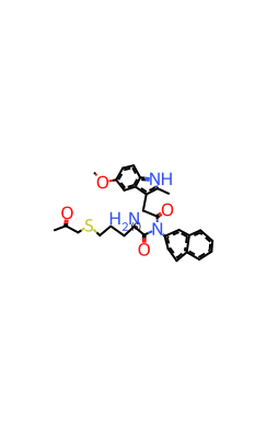 COc1ccc2[nH]c(C)c(CC(=O)N(C(=O)[C@@H](N)CCCSCC(C)=O)c3ccc4ccccc4c3)c2c1